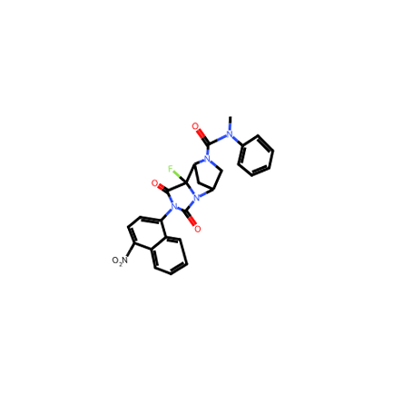 CN(C(=O)N1CC2CC1C1(F)C(=O)N(c3ccc([N+](=O)[O-])c4ccccc34)C(=O)N21)c1ccccc1